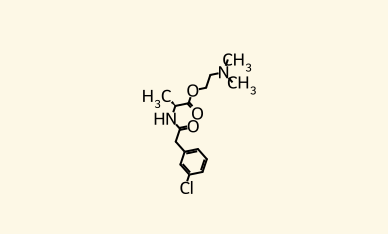 C[C@H](NC(=O)Cc1cccc(Cl)c1)C(=O)OCCN(C)C